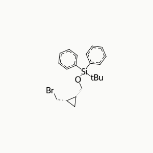 CC(C)(C)[Si](OC[C@@H]1C[C@@H]1CBr)(c1ccccc1)c1ccccc1